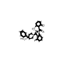 O=C(c1c(Cl)cccc1C(F)(F)F)n1nc(N2CCC(C(=O)O)(c3ccccc3)CC2)c2c(F)cccc21